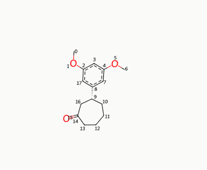 COc1cc(OC)cc([C@@H]2CCCCC(=O)C2)c1